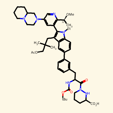 CCn1c(-c2cc(N3CCN4CCCCC4C3)cnc2[C@H](C)OC)c(CC(C)(C)COC(C)=O)c2cc(-c3cccc(CC(NC(=O)OC(C)(C)C)C(=O)N4CCCC(C(=O)O)N4)c3)ccc21